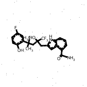 CC(C)(CC(O)(Cc1cc2c(C(N)=O)cccc2[nH]1)C(F)(F)F)c1cc(F)ccc1O